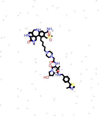 Cc1ncsc1-c1ccc(CNC(=O)[C@@H]2C[C@@H](O)CN2C(=O)[C@@H](NC(=O)CN2CCN(CCCCCc3c(CS(C)(=O)=O)c(C(N)=O)cc4c3-c3cn(C)c(=O)c5[nH]cc(c35)CN4)CC2)C(C)(C)C)cc1